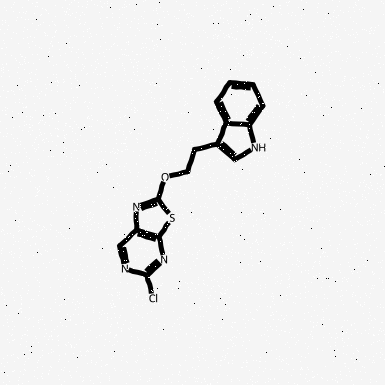 Clc1ncc2nc(OCCc3c[nH]c4ccccc34)sc2n1